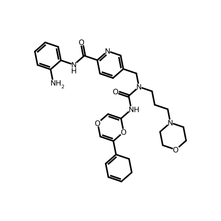 Nc1ccccc1NC(=O)c1ccc(CN(CCCN2CCOCC2)C(=O)NC2=COC=C(C3=CC=CCC3)O2)cn1